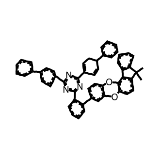 CC1(C)c2ccccc2-c2c1ccc1c2Oc2ccc(-c3ccccc3-c3nc(C4=CCC(c5ccccc5)C=C4)nc(-c4ccc(-c5ccccc5)cc4)n3)cc2O1